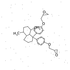 CC1CCC(C)C2C1CCCC2(c1ccc(OCC2CO2)cc1)c1ccc(OCC2CO2)cc1